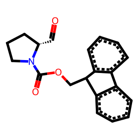 O=C[C@H]1CCCN1C(=O)OCC1c2ccccc2-c2ccccc21